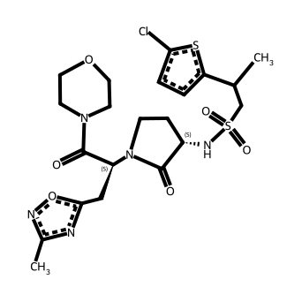 Cc1noc(C[C@@H](C(=O)N2CCOCC2)N2CC[C@H](NS(=O)(=O)CC(C)c3ccc(Cl)s3)C2=O)n1